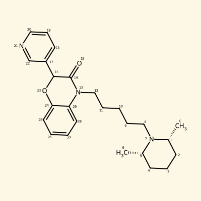 C[C@@H]1CCC[C@H](C)N1CCCCCN1C(=O)C(c2cccnc2)Oc2ccccc21